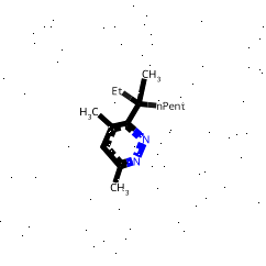 CCCCCC(C)(CC)c1nnc(C)cc1C